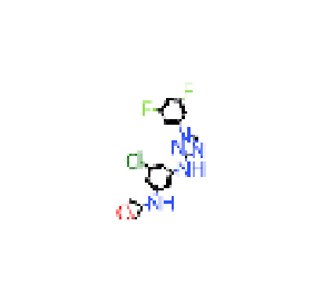 Fc1cc(F)cc(-n2cnc(Nc3cc(Cl)cc(NC4COC4)c3)n2)c1